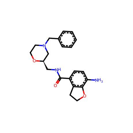 Nc1ccc(C(=O)NC[C@@H]2CN(Cc3ccccc3)CCO2)c2c1OCC2